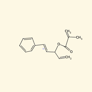 C=CC(/C=C/c1ccccc1)OC(=O)C(=C)C